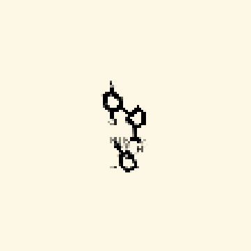 N#CN1[C@H]2CC[C@@H]1[C@H](NC(=O)c1cccc(-c3cc(Cl)ccc3Cl)c1)C2